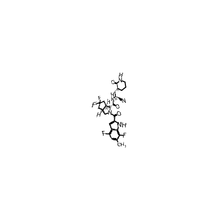 Cc1cc(F)c2cc(C(=O)N3C[C@H]4CC(F)(F)C[C@H]4[C@@H]3C(=O)N[C@H](C#N)C[C@H]3CCCNC3=O)[nH]c2c1F